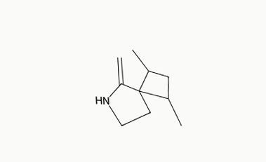 C=C1NCCC12C(C)CC2C